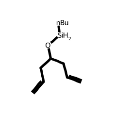 C=CCC(CC=C)O[SiH2]CCCC